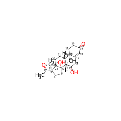 CC(=O)[C@H]1CCC2(O)[C@@H]3C(O)CC4=CC(=O)CC[C@]4(C)[C@H]3CC[C@]12C